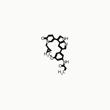 C=CC(=O)Nc1cc(OC)cc(-c2cnc3[nH]cc(-c4ccc(=O)n(CC5CC5)c4)c3c2)c1